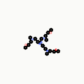 c1cc(-c2ccc3nc(-c4ccc(-c5ccc(-n6c7ccccc7c7cc(-c8ccc9c(c8)oc8ccccc89)ccc76)cc5)cc4)nc(-c4cccc(-n5c6ccccc6c6cc(-c7ccc8c(c7)oc7ccccc78)ccc65)c4)c3c2)cc(-n2c3ccccc3c3cc(-c4ccc5c(c4)oc4ccccc45)ccc32)c1